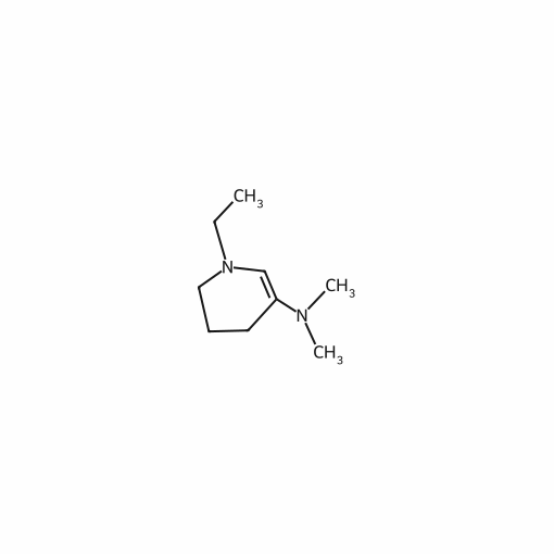 CCN1C=C(N(C)C)CCC1